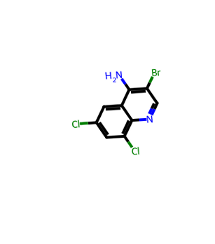 Nc1c(Br)cnc2c(Cl)cc(Cl)cc12